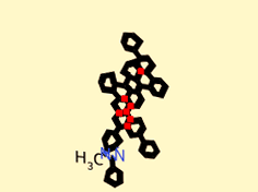 Cn1c(-c2ccccc2)nc2cc(-c3ccc(-c4ccc5c(-c6ccccc6-c6ccc(-c7ccccc7)cc6)c6ccccc6c(-c6ccccc6-c6ccc(-c7ccc(C8=CC=CCC8)cc7)cc6)c5c4)cc3)ccc21